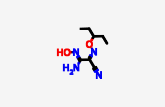 CCC(CC)ON=C(C#N)C(N)=NO